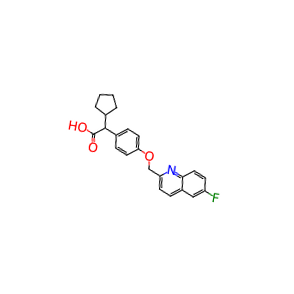 O=C(O)C(c1ccc(OCc2ccc3cc(F)ccc3n2)cc1)C1CCCC1